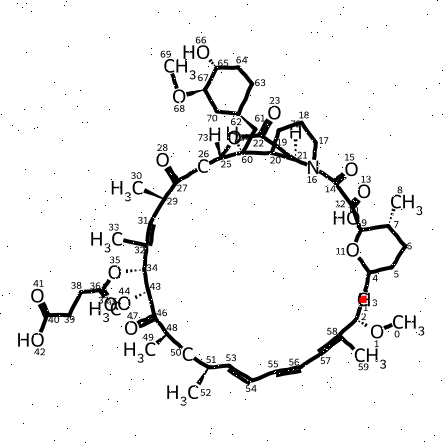 CO[C@H]1C[C@@H]2CC[C@@H](C)[C@@](O)(O2)C(=O)C(=O)N2CCCC3[C@H]2C(=O)O[C@@H](CC(=O)[C@H](C)/C=C(\C)[C@@H](OC(=O)CCC(=O)O)[C@@H](OC)C(=O)[C@H](C)C[C@H](C)/C=C/C=C/C=C/1C)[C@H]3C[C@@H]1CC[C@@H](O)[C@H](OC)C1